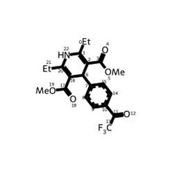 CCC1=C(C(=O)OC)C(c2ccc(C(=O)C(F)(F)F)cc2)C(C(=O)OC)=C(CC)N1